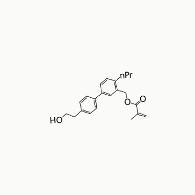 C=C(C)C(=O)OCc1cc(-c2ccc(CCO)cc2)ccc1CCC